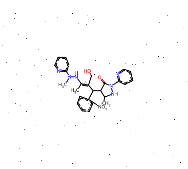 C/C(NN(C)c1ccccn1)=C(/CO)C(c1ccccc1[N+](=O)[O-])C1C(=O)N(c2ccccn2)NC1C